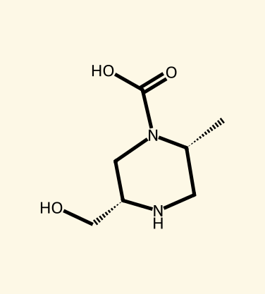 C[C@@H]1CN[C@H](CO)CN1C(=O)O